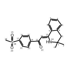 CC1(C)Cc2ccccc2C(=CC(=O)c2ccc(S(C)(=O)=O)cc2)N1